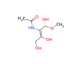 CO[C@@H](O)/C(NC(C)=O)=C(\O)CO